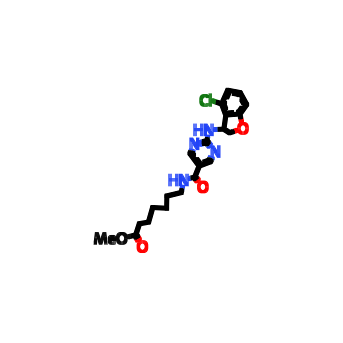 COC(=O)CCCCCCNC(=O)c1cnc(NC2COc3cccc(Cl)c32)nc1